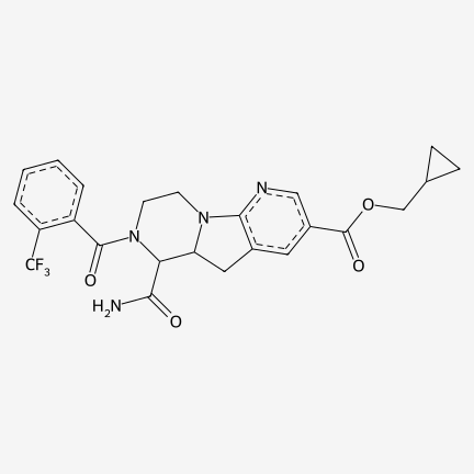 NC(=O)C1C2Cc3cc(C(=O)OCC4CC4)cnc3N2CCN1C(=O)c1ccccc1C(F)(F)F